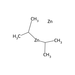 C[CH](C)[Zn][CH](C)C.[Zn]